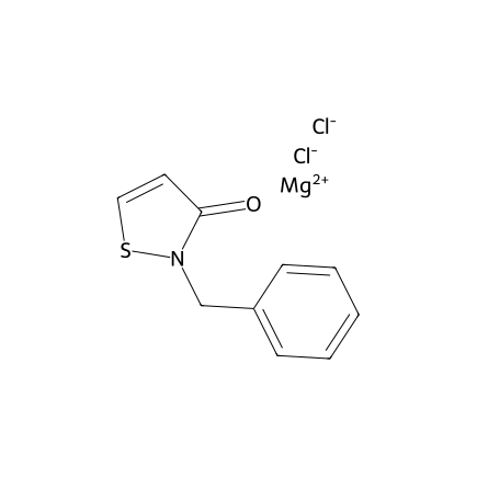 O=c1ccsn1Cc1ccccc1.[Cl-].[Cl-].[Mg+2]